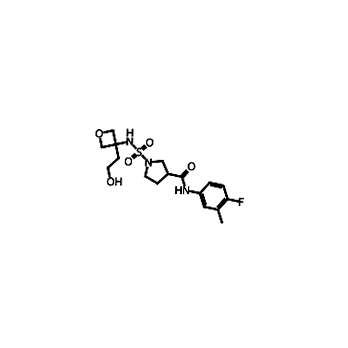 Cc1cc(NC(=O)C2CCN(S(=O)(=O)NC3(CCO)COC3)C2)ccc1F